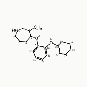 CC1CNCCCC1Oc1ccccc1OC1CCCCC1